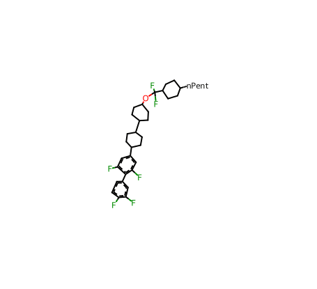 CCCCCC1CCC(C(F)(F)OC2CCC(C3CCC(c4cc(F)c(-c5ccc(F)c(F)c5)c(F)c4)CC3)CC2)CC1